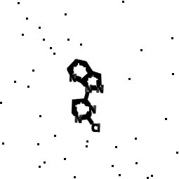 Clc1nccc(-n2ncc3cccnc32)n1